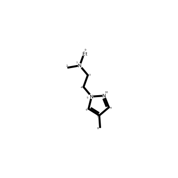 CCN(C)CCn1cc(C)cn1